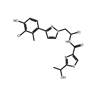 CCC(Cn1ccc(-c2ccc(C#N)c(Cl)c2C)n1)NC(=O)c1csc(C(C)O)n1